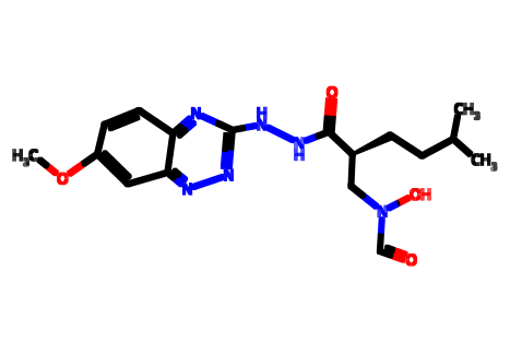 COc1ccc2nc(NNC(=O)[C@@H](CCC(C)C)CN(O)C=O)nnc2c1